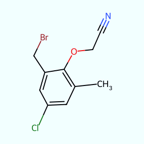 Cc1cc(Cl)cc(CBr)c1OCC#N